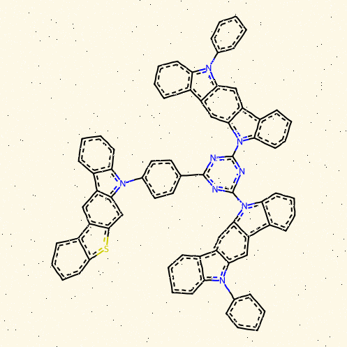 c1ccc(-n2c3ccccc3c3cc4c(cc32)c2ccccc2n4-c2nc(-c3ccc(-n4c5ccccc5c5cc6c(cc54)sc4ccccc46)cc3)nc(-n3c4ccccc4c4cc5c(cc43)c3ccccc3n5-c3ccccc3)n2)cc1